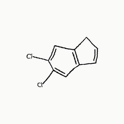 Clc1cc2c(cc1Cl)CC=C2